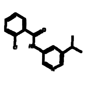 CC(C)c1cncc(NC(=O)c2ccccc2Cl)c1